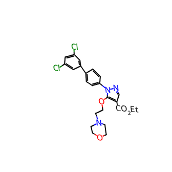 CCOC(=O)c1cnn(-c2ccc(-c3cc(Cl)cc(Cl)c3)cc2)c1OCCN1CCOCC1